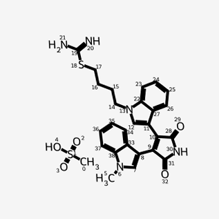 CS(=O)(=O)O.Cn1cc(C2=C(c3cn(CCCCSC(=N)N)c4ccccc34)C(=O)NC2=O)c2ccccc21